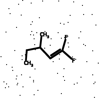 CCC(C)C=C(F)F